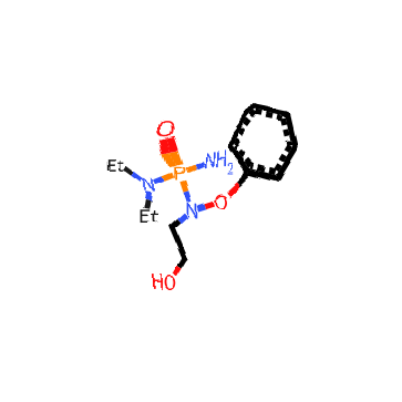 CCN(CC)P(N)(=O)N(CCO)Oc1ccccc1